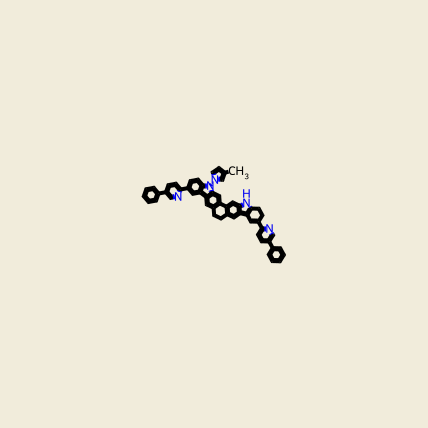 Cc1ccn(-n2c3ccc(-c4ccc(-c5ccccc5)cn4)cc3c3cc4c(cc32)-c2cc3[nH]c5c(c3cc2CC4)C=C(c2ccc(-c3ccccc3)cn2)CC5)c1